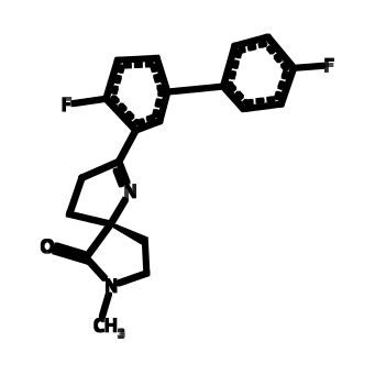 CN1CC[C@]2(CCC(c3cc(-c4ccc(F)cc4)ccc3F)=N2)C1=O